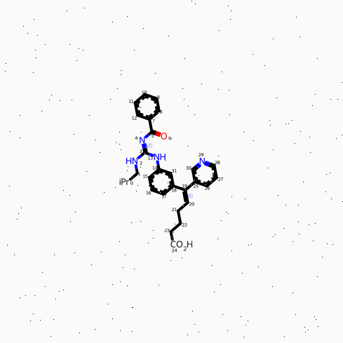 CC(C)CN/C(=N/C(=O)c1ccccc1)Nc1cccc(/C(=C\CCCC(=O)O)c2cccnc2)c1